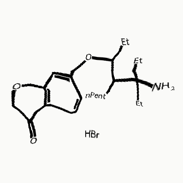 Br.CCCCCC(C(CC)Oc1ccc2c(c1)OCC2=O)C(N)(CC)CC